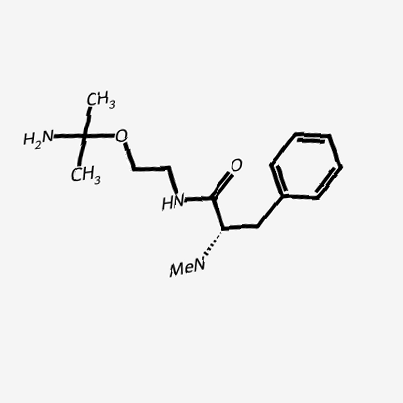 CN[C@@H](Cc1ccccc1)C(=O)NCCOC(C)(C)N